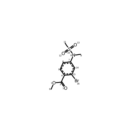 COC(=O)c1ccc(N(C)S(C)(=O)=O)cc1Br